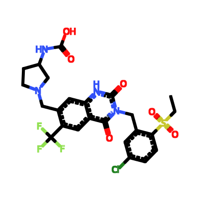 CCS(=O)(=O)c1ccc(Cl)cc1Cn1c(=O)[nH]c2cc(CN3CCC(NC(=O)O)C3)c(C(F)(F)F)cc2c1=O